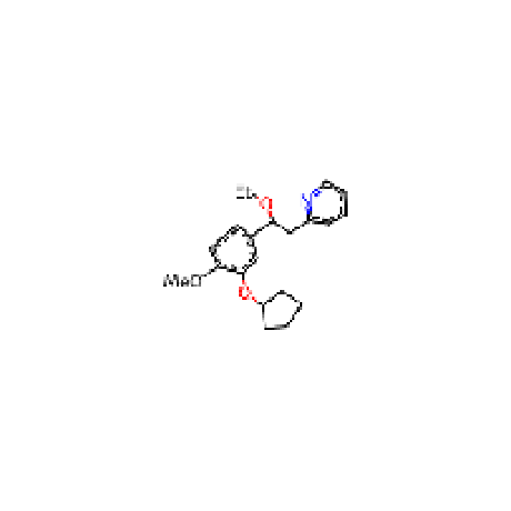 CCOC(Cc1ccccn1)c1ccc(OC)c(OC2CCCC2)c1